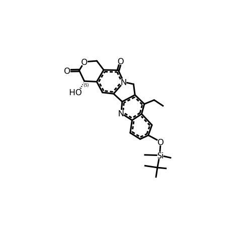 CCc1c2c(nc3ccc(O[Si](C)(C)C(C)(C)C)cc13)-c1cc3c(c(=O)n1C2)COC(=O)[C@H]3O